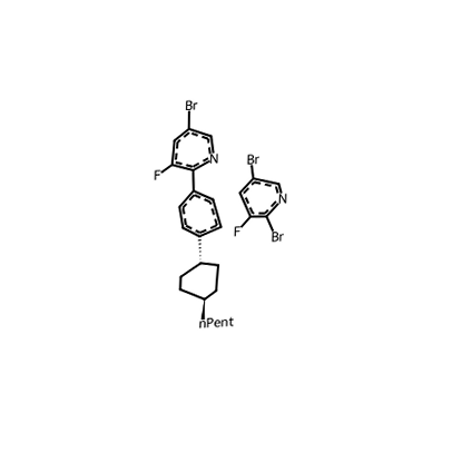 CCCCC[C@H]1CC[C@H](c2ccc(-c3ncc(Br)cc3F)cc2)CC1.Fc1cc(Br)cnc1Br